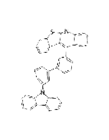 c1cc(-c2cccc(-n3c4ccccc4c4ccccc43)c2)cc(-c2c3ccccc3nc3sc4ccccc4c23)c1